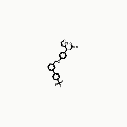 O=C(O)C[C@H](c1ccc(OCc2cccc(-c3ccc(C(F)(F)F)cc3)c2)cc1)C1C=CON1